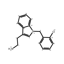 NCCc1cn(Cc2ccccc2Cl)c2ccccc12